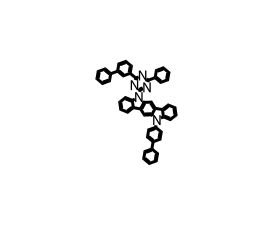 c1ccc(-c2ccc(-n3c4ccccc4c4cc5c(cc43)c3ccccc3n5-c3nc(-c4ccccc4)nc(-c4cccc(-c5ccccc5)c4)n3)cc2)cc1